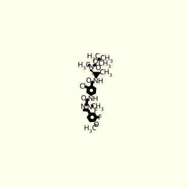 COc1ccc(-c2cnc(C(=O)Nc3ccc(C(=O)NC4[C@@H](CN(C)C(=O)OC(C)(C)C)[C@H]4C)c(Cl)c3)n2C)c(F)c1F